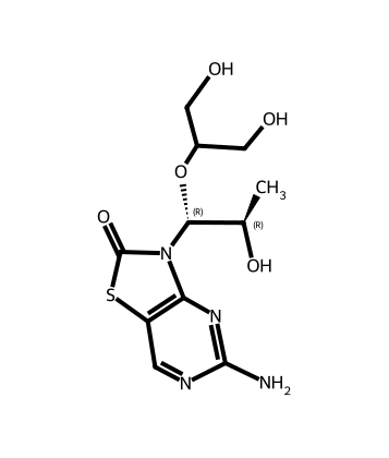 C[C@@H](O)[C@@H](OC(CO)CO)n1c(=O)sc2cnc(N)nc21